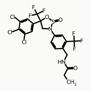 CCC(=O)NCc1ccc(N2CC(c3cc(Cl)c(Cl)c(Cl)c3)(C(F)(F)F)OS2=O)cc1C(F)(F)F